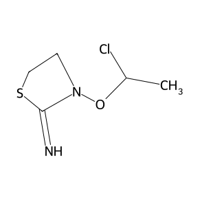 CC(Cl)ON1CCSC1=N